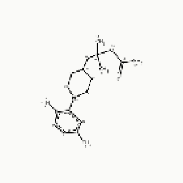 Cc1ccc(N)c(N2CCC(CC(C)(C)OC(N)=O)CC2)c1